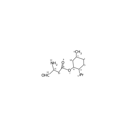 CC1CCC(C(C)C)C(OC(=O)CC(N)C=O)C1